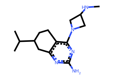 CNC1CN(c2nc(N)nc3c2CCC(C(C)C)C3)C1